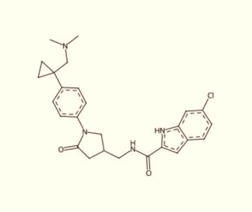 CN(C)CC1(c2ccc(N3CC(CNC(=O)c4cc5ccc(Cl)cc5[nH]4)CC3=O)cc2)CC1